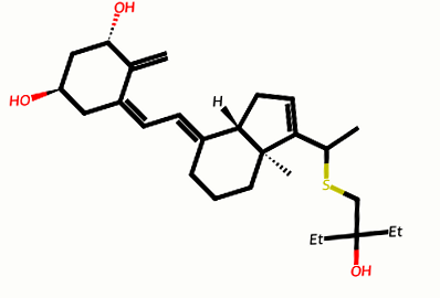 C=C1/C(=C\C=C2/CCC[C@]3(C)C(C(C)SCC(O)(CC)CC)=CC[C@@H]23)C[C@@H](O)C[C@@H]1O